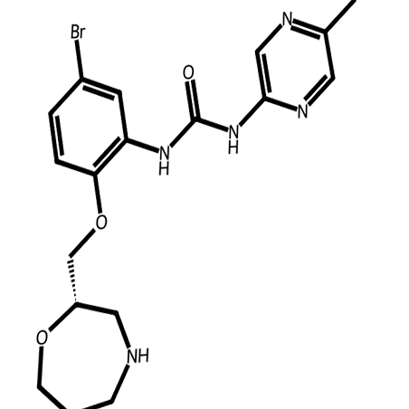 Cc1cnc(NC(=O)Nc2cc(Br)ccc2OC[C@@H]2CNCCCO2)cn1